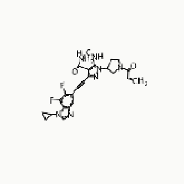 C=CC(=O)N1CC[C@H](n2nc(C#Cc3cc4ncn(C5CC5)c4c(F)c3F)c(C(N)=O)c2NC)C1